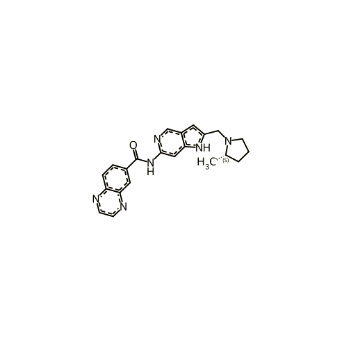 C[C@H]1CCCN1Cc1cc2cnc(NC(=O)c3ccc4nccnc4c3)cc2[nH]1